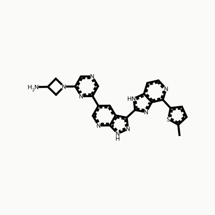 Cc1ccc(-c2nccc3[nH]c(-c4n[nH]c5ncc(-c6cncc(N7CC(N)C7)n6)cc45)nc23)s1